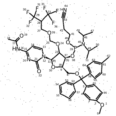 COc1ccc(C(OC[C@H]2O[C@@H](n3ccc(NC(C)=O)nc3=O)C(OCOCC(C(F)(F)F)C(F)(F)F)[C@H]2OP(OCCC#N)N(C(C)C)C(C)C)(c2ccccc2)c2ccc(C)cc2)cc1